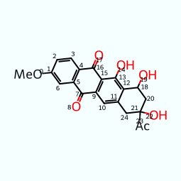 COc1ccc2c(c1)C(=O)c1cc3c(c(O)c1C2=O)C(O)CC(O)(C(C)=O)C3